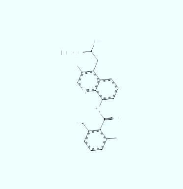 CCCC(Cc1c(CC)cnc2c(NC(=O)c3c(Cl)cccc3Cl)cccc12)C(=O)OCC